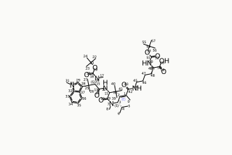 C/C(=C\[C@H](C(C)C)N(C)C(=O)C(NC(=O)[C@@H](N(C)C(=O)OC(C)(C)C)C(C)(C)c1cn(C)c2ccccc12)C(C)(C)C)C(=O)NCCCC[C@@H](NC(=O)OC(C)(C)C)C(=O)O